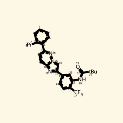 CC(C)c1ccccc1-c1ccc2nc(-c3ccc(C(F)(F)F)c(NC(=O)C(C)(C)C)c3)cn2n1